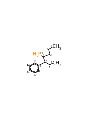 CCCC(P)C(CC)c1ccccc1